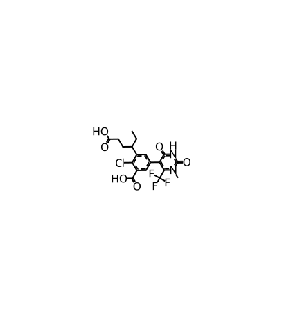 CCC(CCC(=O)O)c1cc(-c2c(C(F)(F)F)n(C)c(=O)[nH]c2=O)cc(C(=O)O)c1Cl